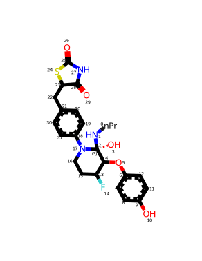 CCCN[C@@]1(O)C(Oc2ccc(O)cc2)C(F)CCN1c1ccc(CC2SC(=O)NC2=O)cc1